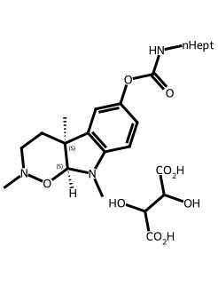 CCCCCCCNC(=O)Oc1ccc2c(c1)[C@]1(C)CCN(C)O[C@@H]1N2C.O=C(O)C(O)C(O)C(=O)O